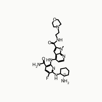 Cn1c(C(=O)NCCN2CCOCC2)cc2c(Nc3nc(NC4CCCC[C@@H]4N)c(F)cc3C(N)=O)ccnc21